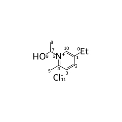 CCc1ccc(C)[n+](C(C)O)c1.[Cl-]